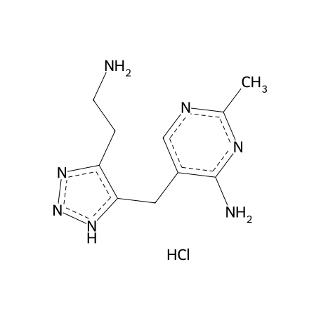 Cc1ncc(Cc2[nH]nnc2CCN)c(N)n1.Cl